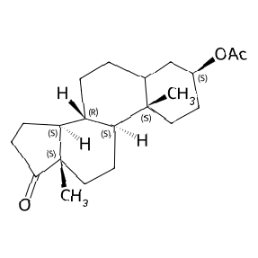 CC(=O)O[C@H]1CC[C@@]2(C)C(CC[C@@H]3[C@@H]2CC[C@]2(C)C(=O)CC[C@@H]32)C1